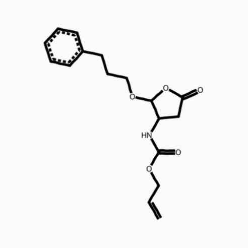 C=CCOC(=O)NC1CC(=O)OC1OCCCc1ccccc1